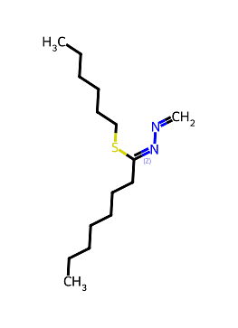 C=N/N=C(/CCCCCCC)SCCCCCC